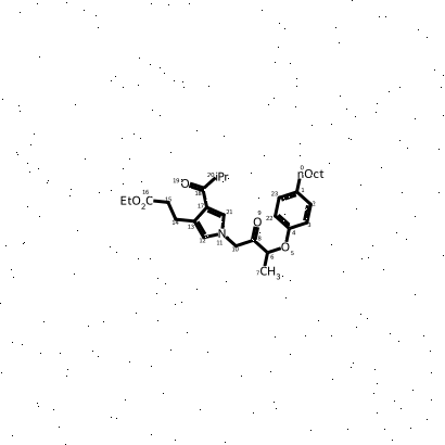 CCCCCCCCc1ccc(OC(C)C(=O)Cn2cc(CCC(=O)OCC)c(C(=O)C(C)C)c2)cc1